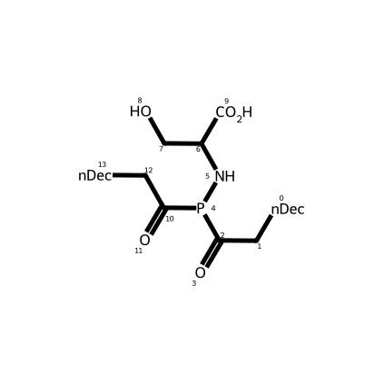 CCCCCCCCCCCC(=O)P(NC(CO)C(=O)O)C(=O)CCCCCCCCCCC